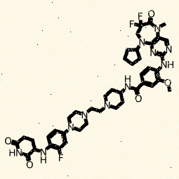 COc1cc(C(=O)NC2CCN(CCN3CCN(c4ccc(NC5CCC(=O)NC5=O)c(F)c4)CC3)CC2)ccc1Nc1ncc2c(n1)N(C1CCCC1)CC(F)(F)C(=O)N2C